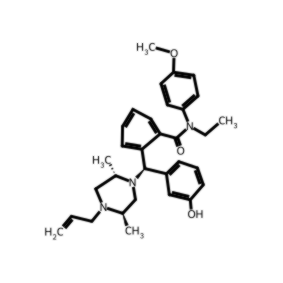 C=CCN1C[C@H](C)N([C@H](c2cccc(O)c2)c2ccccc2C(=O)N(CC)c2ccc(OC)cc2)C[C@H]1C